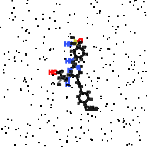 COc1ccc(C#Cc2cnc(Nc3cccc(S(C)(=N)=O)c3)nc2N[C@H](C)CO)cc1